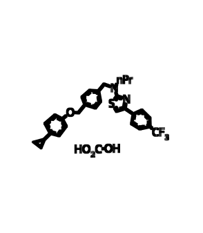 CCCN(Cc1ccc(COc2ccc(C3CC3)cc2)cc1)c1nc(-c2ccc(C(F)(F)F)cc2)cs1.O=C(O)O